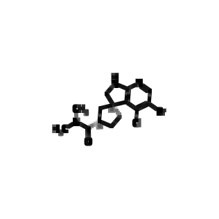 CN(C)C(=O)[C@H]1CC[C@@]2(CNc3ncc(Br)c(Cl)c32)C1